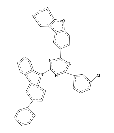 Clc1cccc(-c2nc(-c3ccc4oc5ccccc5c4c3)nc(-n3c4ccccc4c4cc(-c5ccccc5)ccc43)n2)c1